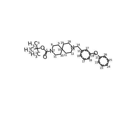 CC(C)(C)OC(=O)N1CCC2(CCN(Cc3cccc(Oc4ccccc4)c3)CC2)CC1